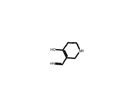 N=CC1=C(O)CCNC1